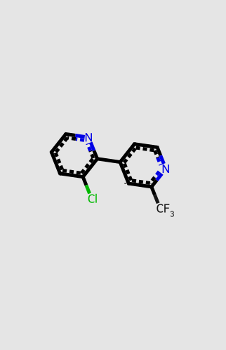 FC(F)(F)c1[c]c(-c2ncccc2Cl)ccn1